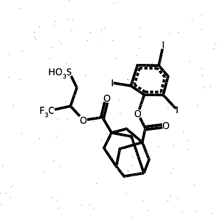 O=C(Oc1c(I)cc(I)cc1I)C12CC3CC(C1)CC(C(=O)OC(CS(=O)(=O)O)C(F)(F)F)(C3)C2